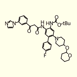 CC(C)(C)OC(=O)Nc1cc(N2CCC(OC3CCCCO3)CC2)c(-c2ccc(F)cc2)cc1NC(=O)CC(=O)c1cccc(-n2ccnc2)c1